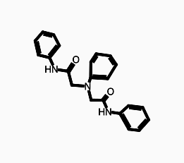 O=C(CN(CC(=O)Nc1ccccc1)c1ccccc1)Nc1ccccc1